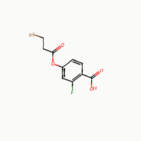 O=C(CCS)Oc1ccc(C(=O)O)c(F)c1